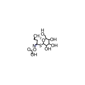 C=CC/C(=N/OS(=O)O)SC1OC(CO)C(O)C(O)C1O